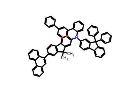 CC1(C)c2cc(-c3cc4ccccc4c4ccccc34)ccc2-c2ccc(N(c3ccc4c(c3)C(c3ccccc3)(c3ccccc3)c3ccccc3-4)c3ccccc3-c3cccc(-c4ccccc4)c3)cc21